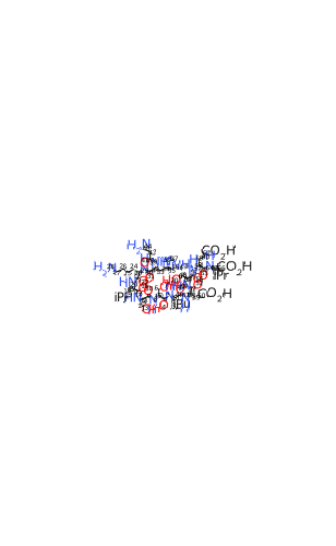 CC[C@H](C)[C@H](NC(=O)[C@H](CO)NC(=O)[C@H](CO)NC(=O)[C@H](CC(C)C)NC(=O)[C@H](CCCCN)NC(=O)[C@H](Cc1c[nH]cn1)NC(=O)CCN)C(=O)N[C@@H](CC(=O)O)C(=O)N[C@H](C(=O)N[C@@H](CCC(=O)O)C(=O)N[C@H](C(=O)O)C(C)C)[C@@H](C)O